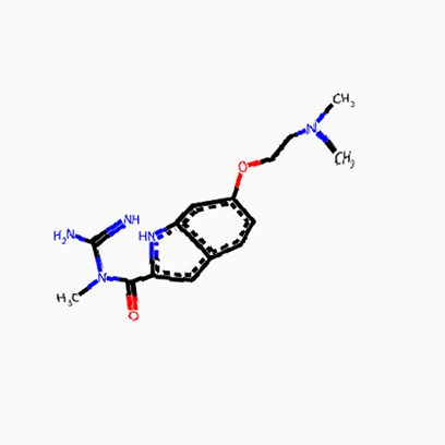 CN(C)CCOc1ccc2cc(C(=O)N(C)C(=N)N)[nH]c2c1